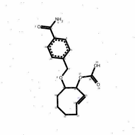 NC(=O)c1ccc(COC2CCCC/C=C/C2OC(=O)O)cc1